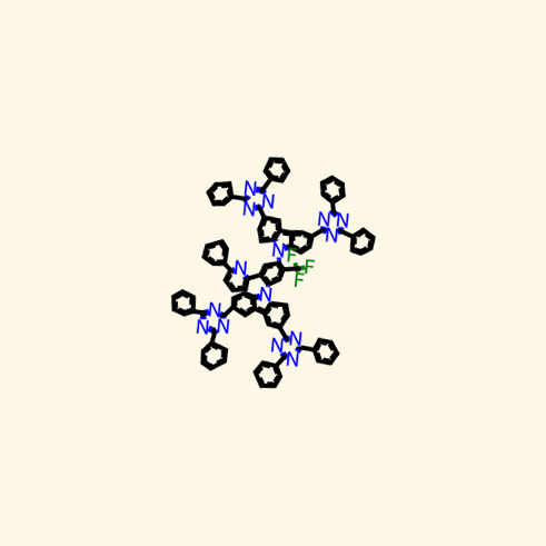 FC(F)(F)c1cc(-n2c3ccc(-c4nc(-c5ccccc5)nc(-c5ccccc5)n4)cc3c3cc(-c4nc(-c5ccccc5)nc(-c5ccccc5)n4)ccc32)c(-c2cccc(-c3ccccc3)n2)cc1-n1c2ccc(-c3nc(-c4ccccc4)nc(-c4ccccc4)n3)cc2c2cc(-c3nc(-c4ccccc4)nc(-c4ccccc4)n3)ccc21